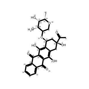 CC(=O)[C@]1(O)Cc2c(O)c3c(c(O)c2[C@@H](OC2CO[C@@H](C)[C@@H](O)[C@H]2N)C1)C(=O)c1ccccc1C3=O